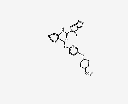 Cn1c(C(=O)Nc2ccccc2COc2ccc(OC3CCN(C(=O)O)CC3)cn2)cc2sccc21